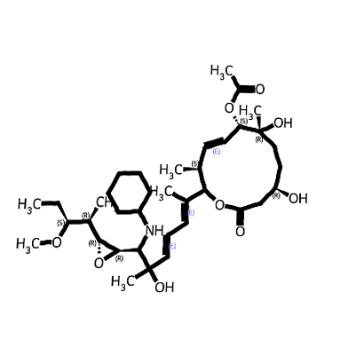 CC[C@H](OC)[C@@H](C)[C@H]1O[C@@H]1C(NC1CCCCC1)C(C)(O)/C=C/C=C(\C)C1OC(=O)C[C@H](O)CC[C@@](C)(O)[C@@H](OC(C)=O)/C=C/[C@@H]1C